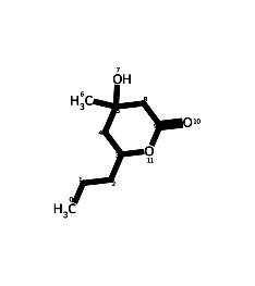 CCCC1CC(C)(O)CC(=O)O1